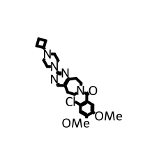 COc1cc(Cl)c(C(=O)N2CCc3cnc(N4CCN(C5CCC5)CC4)nc3CC2)cc1OC